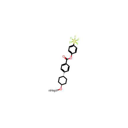 CCCCCCCO[C@H]1CC[C@H](c2ccc(C(=O)Oc3ccc(S(F)(F)(F)(F)F)cc3)cc2)CC1